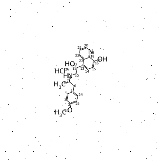 COc1ccc(C[C@@H](C)NC[C@H](O)c2ccc(O)c3ncccc23)cc1.Cl